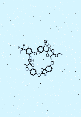 CC(Oc1ccc(Oc2nc3ccc(Cl)cc3o2)cc1)C(=O)O.CCOC(=O)C(C)OC(=O)c1cc(Oc2ccc(C(F)(F)F)cc2Cl)ccc1[N+](=O)[O-]